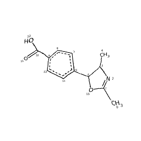 CC1=NC(C)C(c2ccc(C(=O)O)cc2)O1